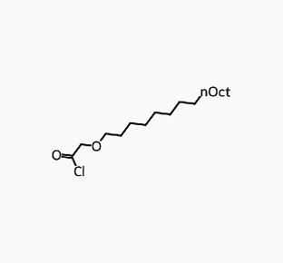 CCCCCCCCCCCCCCCCOCC(=O)Cl